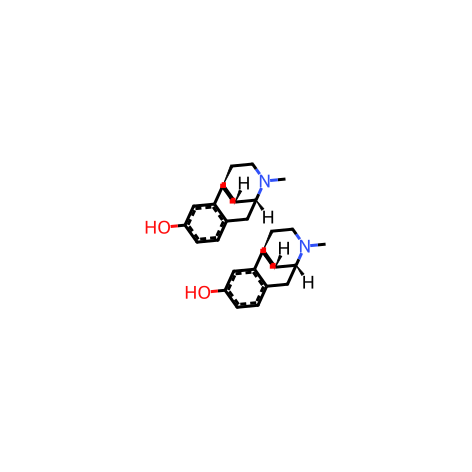 CN1CC[C@]23CCCC[C@H]2[C@H]1Cc1ccc(O)cc13.CN1CC[C@]23CCCC[C@H]2[C@H]1Cc1ccc(O)cc13